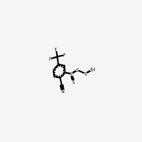 N#Cc1ccc(C(F)(F)F)cc1S(=S)SSS